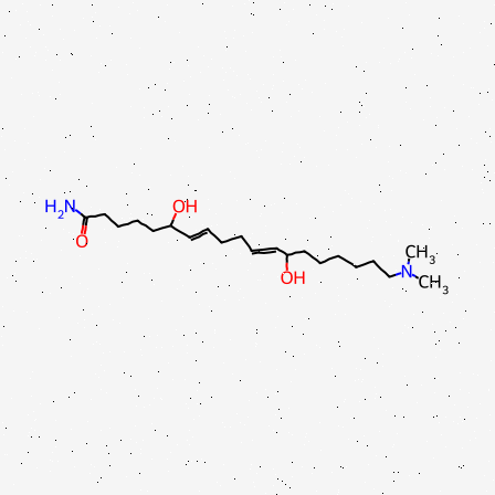 CN(C)CCCCCCC(O)C=CCCC=CC(O)CCCCC(N)=O